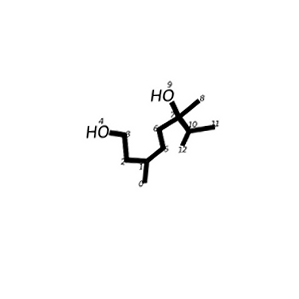 CC(CCO)CCC(C)(O)C(C)C